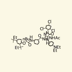 CCCCC(Oc1ccc(C(C)(C)CC)cc1C(C)(C)CC)C(=O)Nc1cccc(C(=O)NC2=NN(c3c(Cl)cc(Cl)cc3Cl)C(=O)C2(NC(C)=O)Nc2ccc(N(CC)CC)cc2)c1